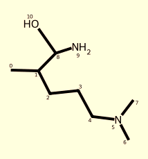 CC(CCCN(C)C)C(N)O